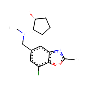 CC(C)c1nc2cc(CN(C)[C@H]3CCC[C@@H]3O)cc(Cl)c2o1